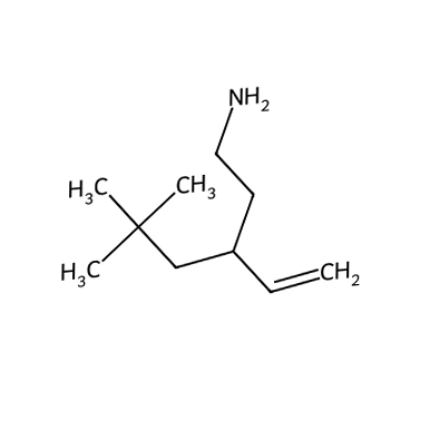 C=CC(CCN)CC(C)(C)C